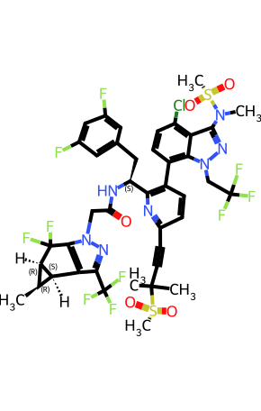 C[C@@H]1[C@@H]2c3c(C(F)(F)F)nn(CC(=O)N[C@@H](Cc4cc(F)cc(F)c4)c4nc(C#CC(C)(C)S(C)(=O)=O)ccc4-c4ccc(Cl)c5c(N(C)S(C)(=O)=O)nn(CC(F)(F)F)c45)c3C(F)(F)[C@H]12